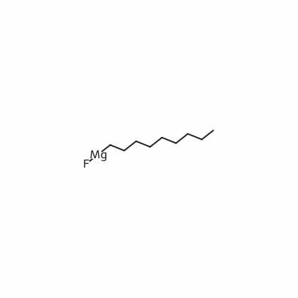 CCCCCCCC[CH2][Mg][F]